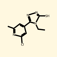 CCn1c(S)nnc1-c1cc(C)nc(Cl)c1